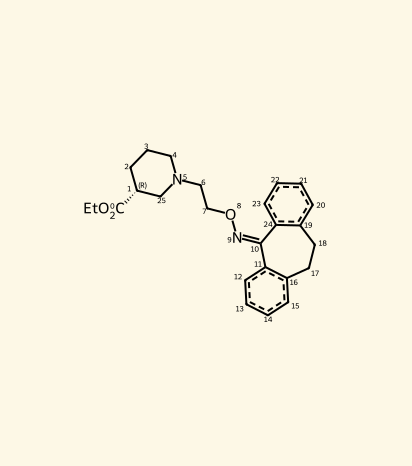 CCOC(=O)[C@@H]1CCCN(CCON=C2c3ccccc3CCc3ccccc32)C1